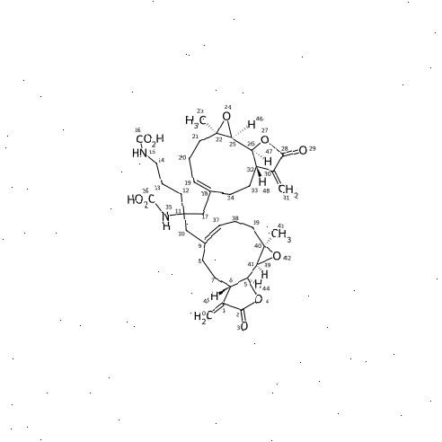 C=C1C(=O)O[C@H]2[C@H]1CC/C(CC(CCCNC(=O)O)(C/C1=C/CC[C@@]3(C)O[C@H]3[C@H]3OC(=O)C(=C)[C@@H]3CC1)NC(=O)O)=C\CC[C@@]1(C)O[C@@H]21